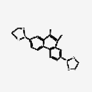 Cc1c(C)c2cc(B3OCCO3)ccc2c2ccc(B3OCCO3)cc12